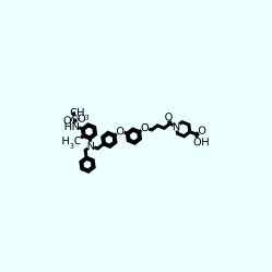 Cc1c(NS(C)(=O)=O)cccc1N(Cc1ccccc1)Cc1ccc(Oc2cccc(OCCCC(=O)N3CCC(C(=O)O)CC3)c2)cc1